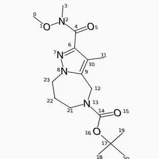 CON(C)C(=O)c1nn2c(c1C)CN(C(=O)OC(C)(C)C)CCC2